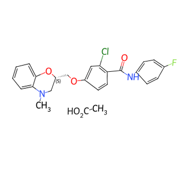 CC(=O)O.CN1C[C@@H](COc2ccc(C(=O)Nc3ccc(F)cc3)c(Cl)c2)Oc2ccccc21